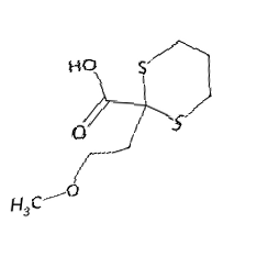 COCCC1(C(=O)O)SCCCS1